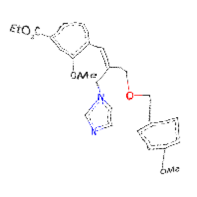 CCOC(=O)c1ccc(C=C(COCc2ccc(OC)cc2)Cn2ccnc2)c(OC)c1